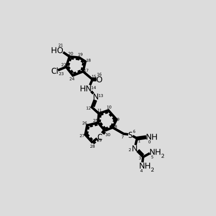 N=C(N=C(N)N)SCc1ccc(/C=N/NC(=O)c2ccc(O)c(Cl)c2)c2ccccc12